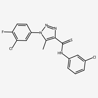 Cc1c(C(=S)Nc2cccc(Cl)c2)nnn1-c1ccc(F)c(Cl)c1